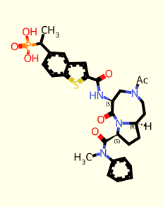 CC(=O)N1CC[C@H]2CC[C@@H](C(=O)N(C)c3ccccc3)N2C(=O)[C@@H](NC(=O)c2cc3cc(C(C)P(=O)(O)O)ccc3s2)C1